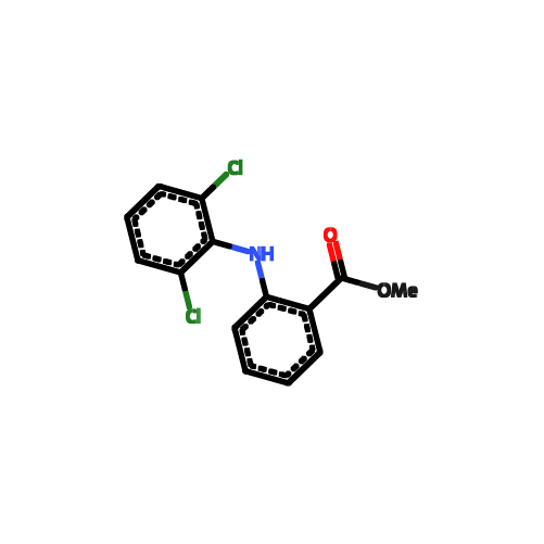 COC(=O)c1ccccc1Nc1c(Cl)cccc1Cl